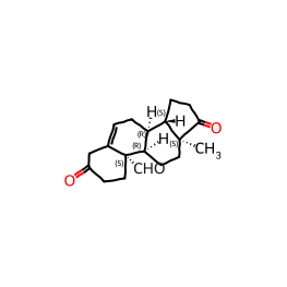 C[C@]12CC[C@@H]3[C@@H](CC=C4CC(=O)CC[C@@]43C=O)[C@@H]1CCC2=O